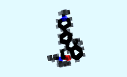 CON(C)C(=O)C[C@H](c1ccc(C2CCN(C(C)(C)C)CC2)cc1)c1ccccc1C